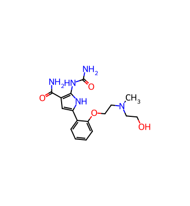 CN(CCO)CCOc1ccccc1-c1cc(C(N)=O)c(NC(N)=O)[nH]1